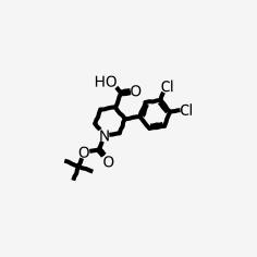 CC(C)(C)OC(=O)N1CCC(C(=O)O)C(c2ccc(Cl)c(Cl)c2)C1